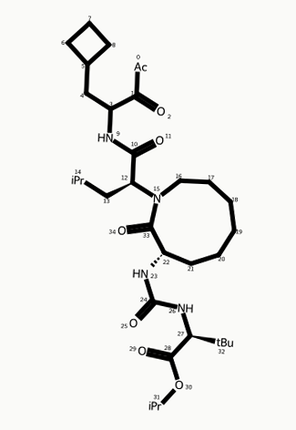 CC(=O)C(=O)C(CC1CCC1)NC(=O)[C@H](CC(C)C)N1CCCCCC[C@H](NC(=O)N[C@H](C(=O)OC(C)C)C(C)(C)C)C1=O